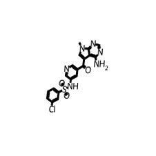 Cn1cc(C(=O)c2cncc(NS(=O)(=O)c3cccc(Cl)c3)c2)c2c(N)ncnc21